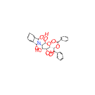 O=C(OC(C(=O)c1ccccc1)[C@H]1O[C@H](O)[C@@H](N2C(=O)c3ccccc3C2=O)[C@@H](O)[C@@H]1O)c1ccccc1